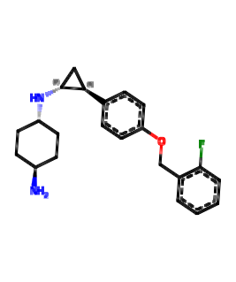 N[C@H]1CC[C@H](N[C@@H]2C[C@H]2c2ccc(OCc3ccccc3F)cc2)CC1